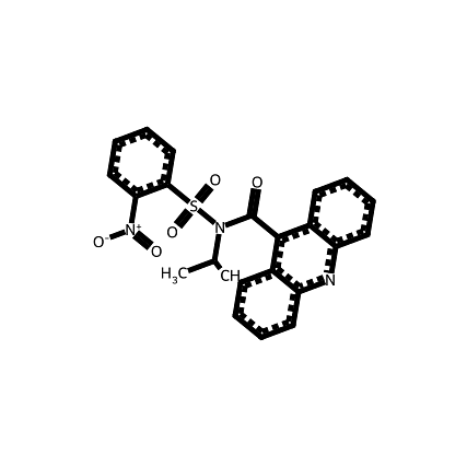 CC(C)N(C(=O)c1c2ccccc2nc2ccccc12)S(=O)(=O)c1ccccc1[N+](=O)[O-]